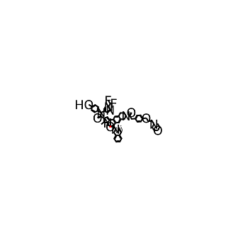 Cc1c(C(=O)N(c2ccc(O)cc2)c2cnn(C(F)F)c2)cc(-c2cc3c(cc2C(=O)N2Cc4ccccc4C[C@H]2C)CN(C(=O)Cc2ccc(OCCN4CCOCC4)cc2)CC3)n1C